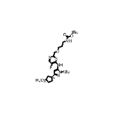 C[C@@H]1CC[C@H](c2cc(Nc3nc(COCCCNC(=O)OC(C)(C)C)ncc3F)n(C(C)(C)C)n2)C1